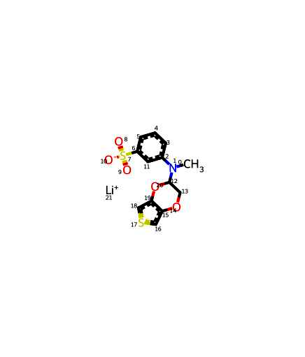 CN(c1cccc(S(=O)(=O)[O-])c1)C1COc2cscc2O1.[Li+]